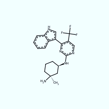 C[C@]1(N)CCC[C@@H](Nc2ncc(C(F)(F)F)c(-c3c[nH]c4ccccc34)n2)C1